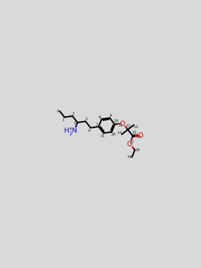 CCCC(N)CCc1ccc(OC(C)(C)C(=O)OCC)cc1